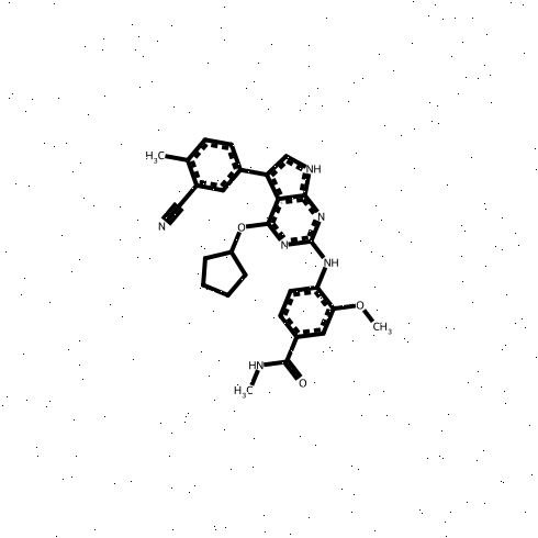 CNC(=O)c1ccc(Nc2nc(OC3CCCC3)c3c(-c4ccc(C)c(C#N)c4)c[nH]c3n2)c(OC)c1